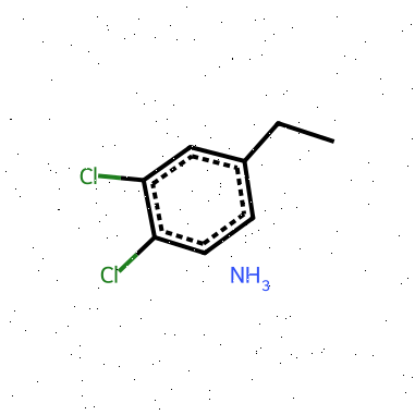 CCc1ccc(Cl)c(Cl)c1.N